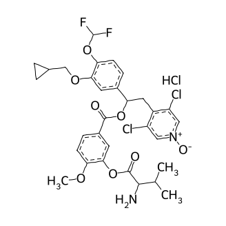 COc1ccc(C(=O)OC(Cc2c(Cl)c[n+]([O-])cc2Cl)c2ccc(OC(F)F)c(OCC3CC3)c2)cc1OC(=O)C(N)C(C)C.Cl